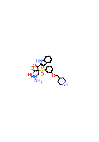 NNC[C@@](C(=O)O)(C(=O)c1cc2ccccc2[nH]1)S(=O)(=O)c1cccc(OCC2CCNCC2)c1